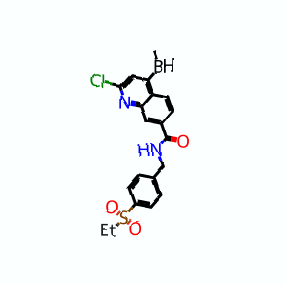 CBc1cc(Cl)nc2cc(C(=O)NCc3ccc(S(=O)(=O)CC)cc3)ccc12